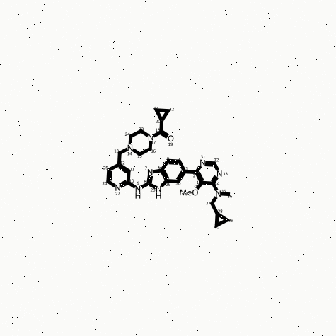 COc1c(-c2ccc3nc(Nc4cc(CN5CCN(C(=O)C6CC6)CC5)ccn4)[nH]c3c2)ncnc1N(C)CC1CC1